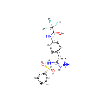 O=C(Nc1ccc(-c2c[nH]nc2NS(=O)(=O)c2ccccc2)cc1)C(F)(F)F